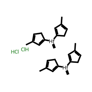 Cl.Cl.[CH2]=[Hf]([C]1=CC(C)=CC1)[C]1=CC(C)=CC1.[CH2]=[Hf]([C]1=CC(C)=CC1)[C]1=CC(C)=CC1